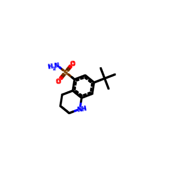 CC(C)(C)c1cc2c(c(S(N)(=O)=O)c1)CCCN2